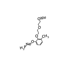 COCCOCCOc1c(C)cccc1OP=NP